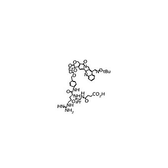 CC[C@@]1(OC(=O)OCc2ccc(NC(=O)[C@H](CCCNC(=N)N)NC(=O)[C@@H](NC(=O)CCC(=O)O)C(C)C)cc2)C(=O)OCc2c1cc1n(c2=O)Cc2c-1nc1ccccc1c2/C=N/OC(C)(C)C